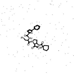 CC(C)CC(NC(=O)c1ccc(-c2ccccc2)s1)C(=O)N1CCC2C1C(=O)CN2C(=O)C1(N)CCCCC1